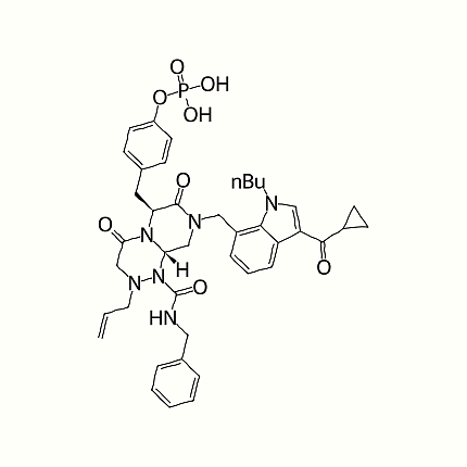 C=CCN1CC(=O)N2[C@@H](Cc3ccc(OP(=O)(O)O)cc3)C(=O)N(Cc3cccc4c(C(=O)C5CC5)cn(CCCC)c34)C[C@@H]2N1C(=O)NCc1ccccc1